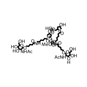 COP(=O)(O)OC[C@@H]1C[C@@H](OP(=O)(O)OCC2C[C@@H](O)CN2C(=O)CCCCCNC(=O)CCCCOC2OC(CO)C(O)C(O)C2NC(C)=O)CN1C(=O)CCCCCNC(=O)CCCCOC1OC(CO)C(O)C(O)C1NC(C)=O